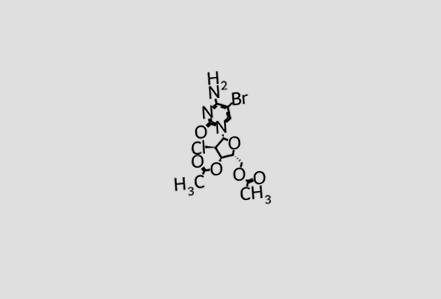 CC(=O)OC[C@H]1O[C@@H](n2cc(Br)c(N)nc2=O)[C@H](Cl)[C@@H]1OC(C)=O